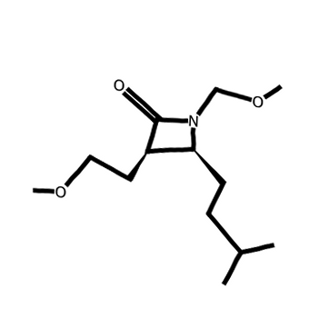 COCC[C@H]1C(=O)N(COC)[C@H]1CCC(C)C